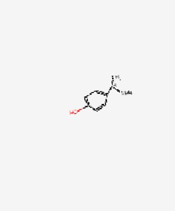 CN[C@H](C)c1ccc(O)cc1